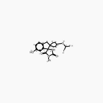 CC(C)N1C(=O)NC2(C1=O)c1cc(O)ccc1CC21CCC(OC(F)F)CC1